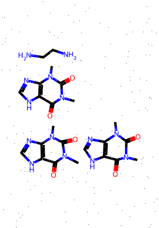 Cn1c(=O)c2[nH]cnc2n(C)c1=O.Cn1c(=O)c2[nH]cnc2n(C)c1=O.Cn1c(=O)c2[nH]cnc2n(C)c1=O.NCCN